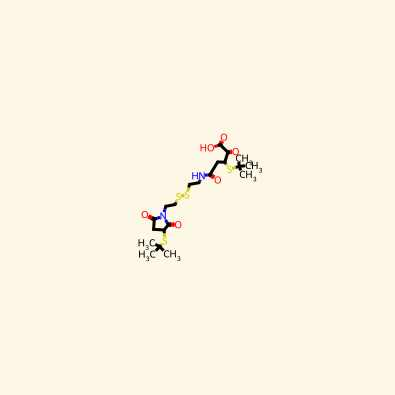 CC(C)(C)SC(CC(=O)NCCSSCCN1C(=O)CC(SC(C)(C)C)C1=O)C(=O)C(=O)O